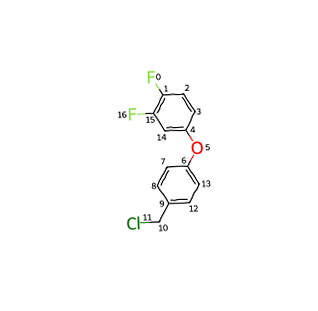 Fc1ccc(Oc2ccc(CCl)cc2)cc1F